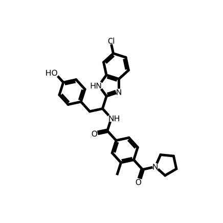 Cc1cc(C(=O)NC(Cc2ccc(O)cc2)c2nc3ccc(Cl)cc3[nH]2)ccc1C(=O)N1CCCC1